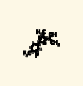 Cc1nc(-c2ccc(C(F)(F)F)c(F)c2)sc1C(C)O